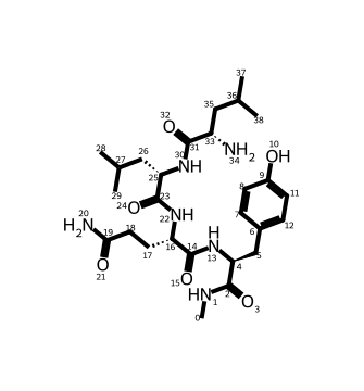 CNC(=O)[C@H](Cc1ccc(O)cc1)NC(=O)[C@H](CCC(N)=O)NC(=O)[C@H](CC(C)C)NC(=O)[C@@H](N)CC(C)C